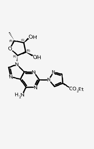 CCOC(=O)c1cnn(-c2nc(N)c3ncn([C@@H]4O[C@H](C)[C@@H](O)[C@H]4O)c3n2)c1